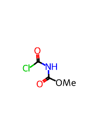 COC(=O)NC(=O)Cl